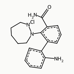 NC(=O)c1cccc(-c2ccccc2N)c1N1CCCCCN1Cl